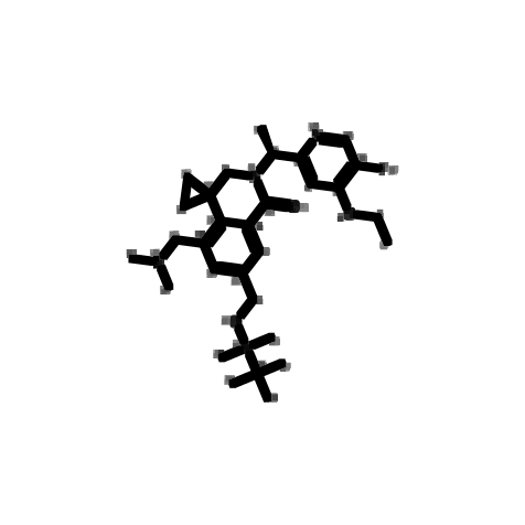 CCOc1cc([C@H](C)N2CC3(CC3)c3c(CN(C)C)cc(CO[Si](C)(C)C(C)(C)C)cc3C2=O)ncc1F